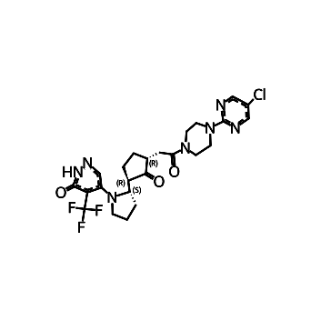 O=C1[C@@H](CC(=O)N2CCN(c3ncc(Cl)cn3)CC2)CC[C@@H]1[C@@H]1CCCN1c1cn[nH]c(=O)c1C(F)(F)F